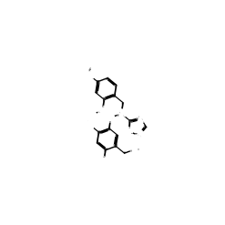 COc1ccc(CN(Sc2cc(CO)c(F)cc2F)c2ncns2)c(OC)c1